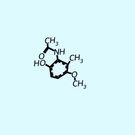 COc1ccc(O)c(NC(C)=O)c1C